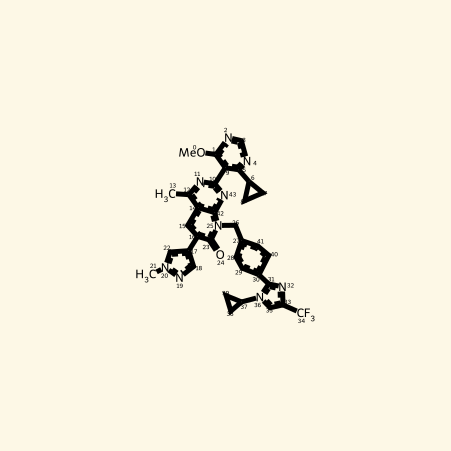 COc1ncnc(C2CC2)c1-c1nc(C)c2cc(-c3cnn(C)c3)c(=O)n(Cc3ccc(-c4nc(C(F)(F)F)cn4C4CC4)cc3)c2n1